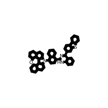 c1ccc2c(c1)NC(c1ccc(-n3c4ccc5cccc6oc7cccc8ccc3c(c87)c4c56)c3ccccc13)N=C2c1ccc2c(c1)sc1ccccc12